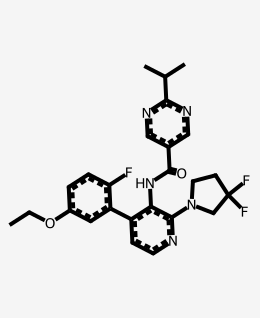 CCOc1ccc(F)c(-c2ccnc(N3CCC(F)(F)C3)c2NC(=O)c2cnc(C(C)C)nc2)c1